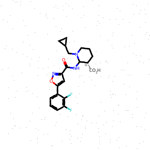 O=C(NC1[C@@H](C(=O)O)CCCN1CC1CC1)c1cc(-c2cccc(F)c2F)on1